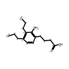 Nc1c(CCCC(=O)O)ccc(CCCl)c1CCCl